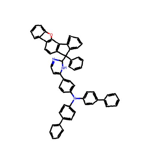 C1=NC(C2(c3ccccc3)c3ccccc3-c3c2ccc2c3oc3ccccc32)NC(c2ccc(N(c3ccc(-c4ccccc4)cc3)c3ccc(-c4ccccc4)cc3)cc2)=C1